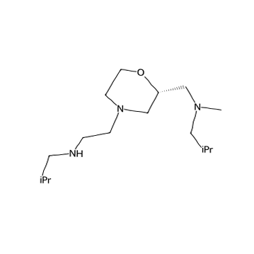 CC(C)CNCCN1CCO[C@H](CN(C)CC(C)C)C1